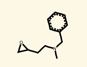 CN(CCC1CO1)Cc1ccccc1